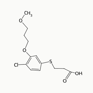 COCCCOc1cc(SCCC(=O)O)ccc1Cl